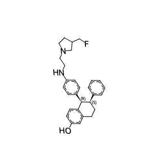 Oc1ccc2c(c1)CC[C@H](c1ccccc1)[C@@H]2c1ccc(NCCN2CCC(CF)C2)cc1